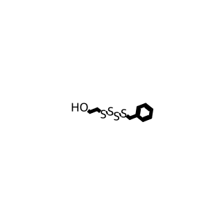 OCCSSSSCc1ccccc1